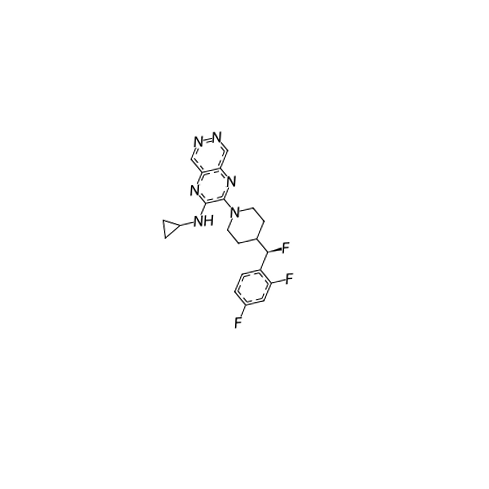 Fc1ccc([C@H](F)C2CCN(c3nc4cnncc4nc3NC3CC3)CC2)c(F)c1